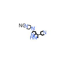 CN(c1cnc2[nH]cc(-c3ccncc3)c2c1)C1CCN(C#N)CC1